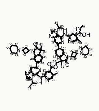 CNC(O)c1cc(Nc2nc(-c3ccc4c(c3)N([C@H]3C[C@@H](N5CCCCC5)C3)C(=O)C4(C)COC(=O)c3cc(Nc4nc(-c5ccc6c(c5)N([C@H]5C[C@@H](N7CCCCC7)C5)C(=O)C6(C)C)cc5ncn(C(C)C)c45)ncc3C)cc3ncn(C(C)C)c23)ncc1C